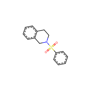 O=S(=O)(c1ccccc1)N1CCc2c[c]ccc2C1